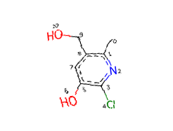 Cc1nc(Cl)c(O)cc1CO